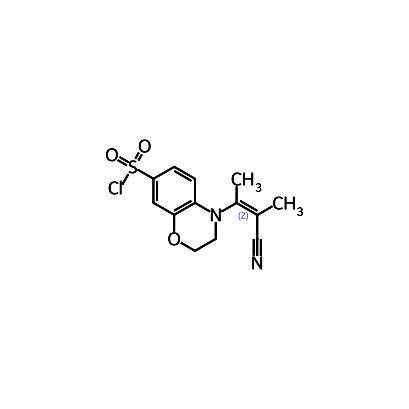 C/C(C#N)=C(\C)N1CCOc2cc(S(=O)(=O)Cl)ccc21